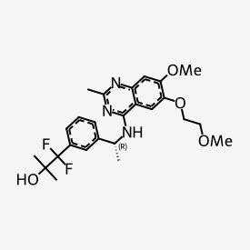 COCCOc1cc2c(N[C@H](C)c3cccc(C(F)(F)C(C)(C)O)c3)nc(C)nc2cc1OC